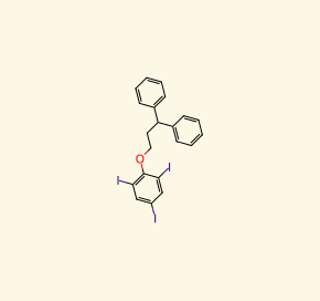 Ic1cc(I)c(OCCC(c2ccccc2)c2ccccc2)c(I)c1